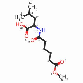 COC(=O)CCCCC(=O)NC(CC(C)C)C(=O)O